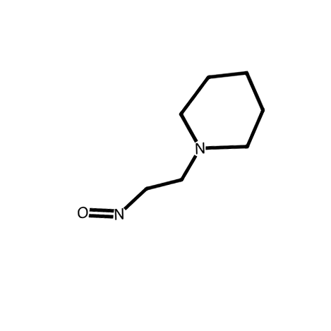 O=NCCN1CCCCC1